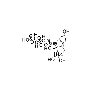 C[C@]12CC[C@@H]3c4ccc(O)cc4CC[C@H]3[C@@H]1C[C@@H](O)[C@@H]2O.O=S(=O)(O)O.O=S(=O)(O)O.O=S(=O)(O)O